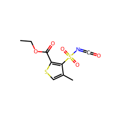 CCOC(=O)c1scc(C)c1S(=O)(=O)N=C=O